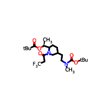 C[C@H](OC(=O)C(C)(C)C)C1CCC(CCN(C)C(=O)OC(C)(C)C)CN1C(=O)CC(F)(F)F